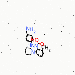 Cc1cccc(N2CCCCC2)c1N(Nc1ccc(CN)cc1)C(=O)O